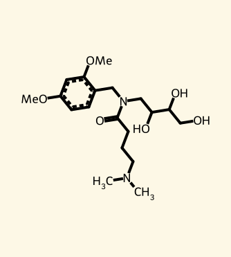 COc1ccc(CN(CC(O)C(O)CO)C(=O)CCCN(C)C)c(OC)c1